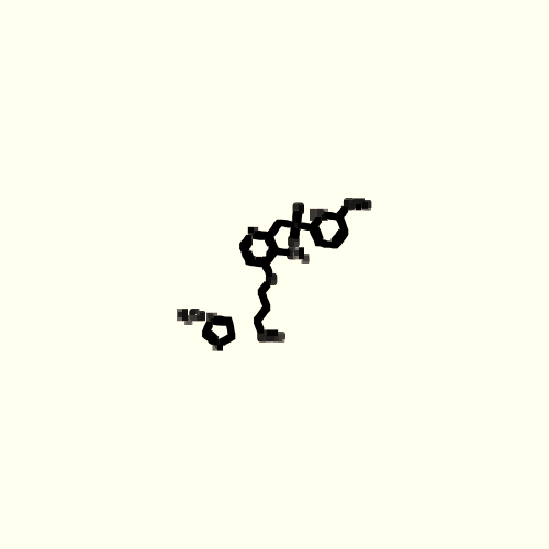 C1=NC=NC1.COCCCOc1ccnc(CS(=O)(=O)C2=CC=CC(OC)N2)c1C.[CaH2]